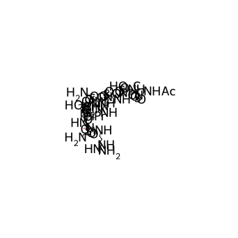 CC(=O)N[C@@H](CCC(=O)O)CN(CC(=O)N[C@@H](C)CN(CC(=O)N[C@@H](CCCNC(=N)N)CN(CC(=O)N[C@@H](CC(C)C)CN(CC(=O)N[C@H](CN(CC(=O)N[C@@H](C)CN(CC(=O)N[C@H](C)CCCNC(=N)N)S(=O)(=O)CCN)S(=O)(=O)CC(C)C)C(C)O)S(=O)(=O)CCN)S(C)(=O)=O)S(C)(=O)=O)S(C)(=O)=O